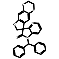 O=C1N(C(c2ccccc2)c2ccccc2)c2cccnc2C12COc1cc3c(cc12)OCCO3